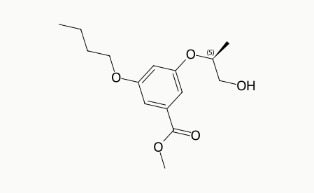 CCCCOc1cc(O[C@@H](C)CO)cc(C(=O)OC)c1